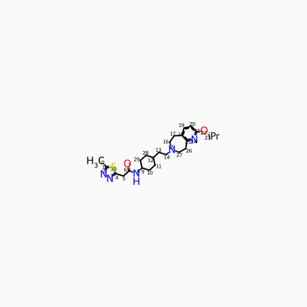 Cc1nnc(CC(=O)NC2CCC(CCN3CCc4ccc(OC(C)C)nc4CC3)CC2)s1